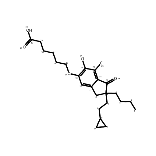 CCCCC1(CCC2CC2)Cc2cc(OCCCCCC(=O)O)c(Cl)c(Cl)c2C1=O